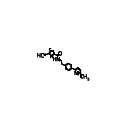 C#Cc1nc(C(=O)NCCc2ccc(-c3ccn(C)n3)cc2)cs1